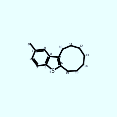 Cc1ccc2sc3c(c2c1)CCCCCCC3